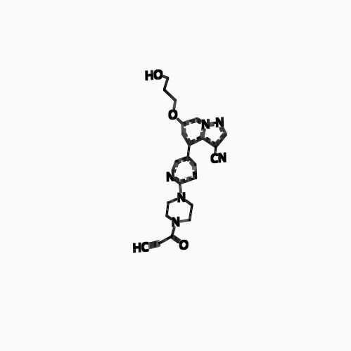 C#CC(=O)N1CCN(c2ccc(-c3cc(OCCCO)cn4ncc(C#N)c34)cn2)CC1